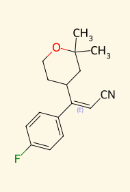 CC1(C)CC(/C(=C\C#N)c2ccc(F)cc2)CCO1